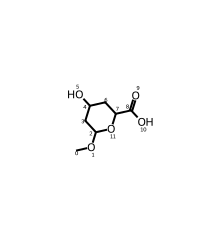 COC1CC(O)CC(C(=O)O)O1